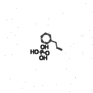 C=CCc1ccccc1.O=P(O)(O)O